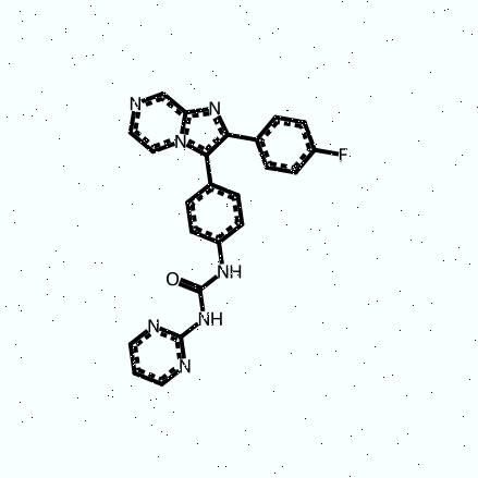 O=C(Nc1ccc(-c2c(-c3ccc(F)cc3)nc3cnccn23)cc1)Nc1ncccn1